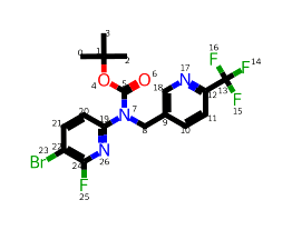 CC(C)(C)OC(=O)N(Cc1ccc(C(F)(F)F)nc1)c1ccc(Br)c(F)n1